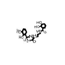 NC(=O)[C@@H](CCCNC(=O)c1cccc(O)c1O)NC(=O)c1cccc(O)c1O